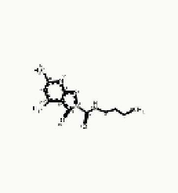 CCCCNC(=O)n1sc2nc(C)cc(C)c2c1=O